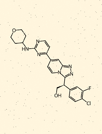 OC[C@H](c1ccc(Cl)c(F)c1)c1nnc2cc(-c3ccnc(NC4CCOCC4)n3)ccn12